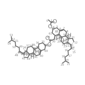 CC(=O)O[C@@H]1CC2=CC[C@H]3[C@@H]4CC[C@H]([C@H](C)CCCC(C)C)[C@@]4(C)CC[C@@H]3[C@@]2(C)C(CC(=O)O[C@H]2CC[C@@]3(C)C(=CC[C@H]4[C@@H]5CC[C@H]([C@H](C)CCCC(C)C)[C@@]5(C)CC[C@@H]43)C2)C1